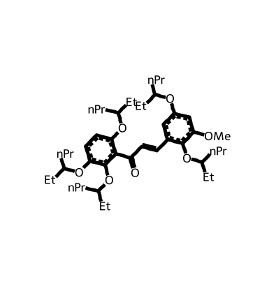 CCCC(CC)Oc1cc(C=CC(=O)c2c(OC(CC)CCC)ccc(OC(CC)CCC)c2OC(CC)CCC)c(OC(CC)CCC)c(OC)c1